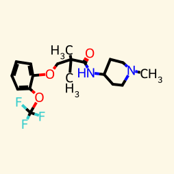 CN1CCC(NC(=O)C(C)(C)COc2ccccc2OC(F)(F)F)CC1